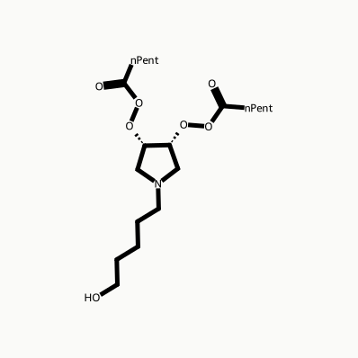 CCCCCC(=O)OO[C@H]1CN(CCCCCO)C[C@H]1OOC(=O)CCCCC